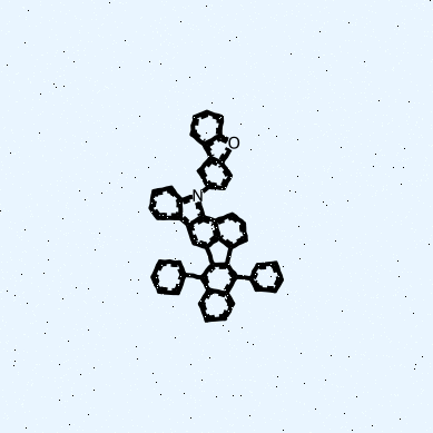 c1ccc(-c2c3c(c(-c4ccccc4)c4ccccc24)-c2cc4c5ccccc5n(-c5ccc6oc7ccccc7c6c5)c4c4cccc-3c24)cc1